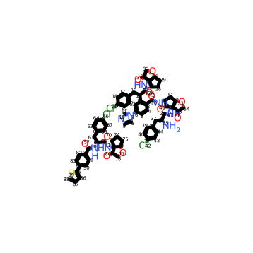 NC(=O)c1ccc(-n2ccnc2)cc1C(Cc1ccc(Cl)cc1)C(=O)NC12CCCC1OCC2=O.NC(Cc1ccc(Cl)cc1)C(=O)NC12CCCC1OCC2=O.O=C(NC(Cc1ccc(Cl)cc1)C(=O)NC12CCCC1OCC2=O)c1ccc(-c2cccs2)cc1